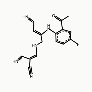 CC(=O)c1cc(F)ccc1N/C(=C\C=N)CN/C=C(/C#N)C=N